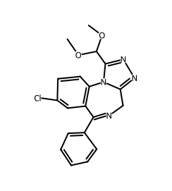 COC(OC)c1nnc2n1-c1ccc(Cl)cc1C(c1ccccc1)=NC2